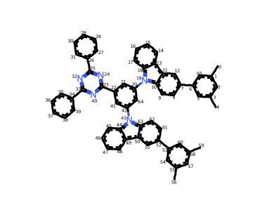 Cc1cc(C)cc(-c2ccc3c(c2)c2ccccc2n3-c2cc(-c3nc(-c4ccccc4)nc(-c4ccccc4)n3)cc(-n3c4ccccc4c4cc(-c5cc(C)cc(C)c5)ccc43)c2)c1